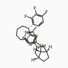 Cc1cc(N2C[C@H]3CC[C@@H](C2)[C@H]3Nc2nc3n(n2)CCCC[C@@H]3c2ccc(F)c(F)c2F)cnn1